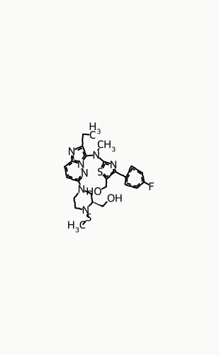 CCc1nc2ccc(N3CCN(SC)[C@H](CO)C3)nn2c1N(C)c1nc(-c2ccc(F)cc2)c(CO)s1